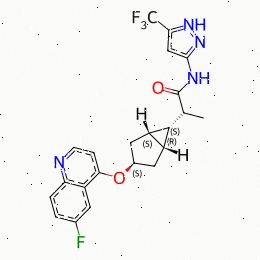 CC(C(=O)Nc1cc(C(F)(F)F)[nH]n1)[C@@H]1[C@@H]2C[C@@H](Oc3ccnc4ccc(F)cc34)C[C@@H]21